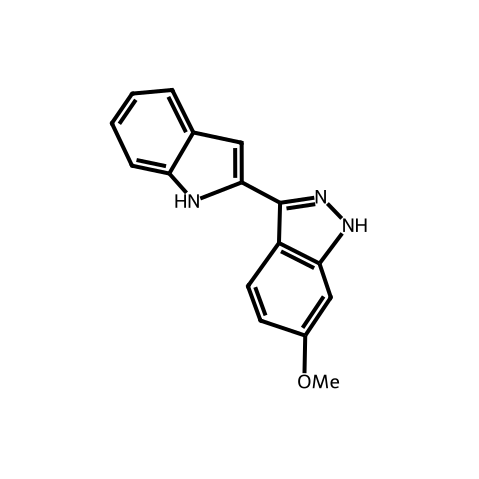 COc1ccc2c(-c3cc4ccccc4[nH]3)n[nH]c2c1